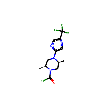 C[C@@H]1CN(c2cnc(C(F)(F)F)cn2)[C@@H](C)CN1C(=O)Cl